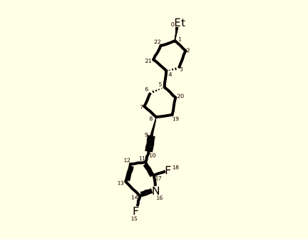 CC[C@H]1CC[C@H]([C@H]2CC[C@H](C#Cc3ccc(F)nc3F)CC2)CC1